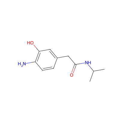 CC(C)NC(=O)Cc1ccc(N)c(O)c1